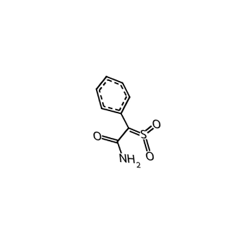 NC(=O)C(c1ccccc1)=S(=O)=O